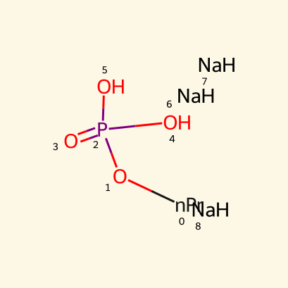 CCCOP(=O)(O)O.[NaH].[NaH].[NaH]